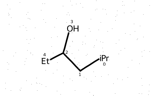 [CH2]C([CH2])CC(O)CC